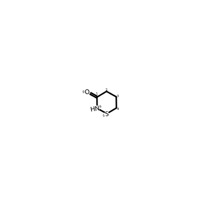 O=C1CCCSN1